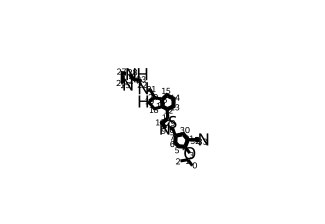 CC(C)Oc1ccc(-c2ncc(-c3cccc4c3CCC4CNCc3ncc[nH]3)s2)cc1C#N